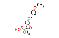 CCOc1ccc(COc2ccc3c(C(C)C(=O)O)coc3c2)cc1